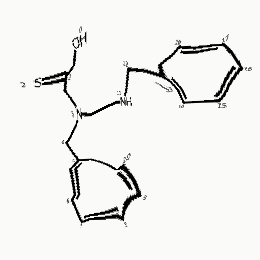 OC(=S)N(Cc1ccccc1)NCc1ccccc1